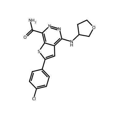 NC(=O)c1nnc(NC2CCOC2)c2cc(-c3ccc(Cl)cc3)sc12